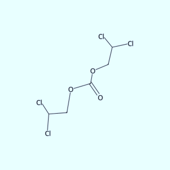 O=C(OCC(Cl)Cl)OCC(Cl)Cl